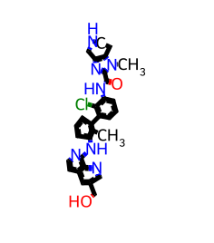 Cc1c(Nc2nccc3cc(CO)cnc23)cccc1-c1cccc(NC(=O)c2nc3c(n2C)CCNC3)c1Cl